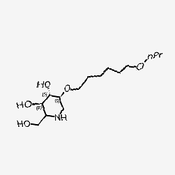 CCCOCCCCCCO[C@H]1CNC(CO)[C@@H](O)[C@@H]1O